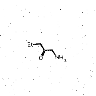 CC[CH]C(=O)CN